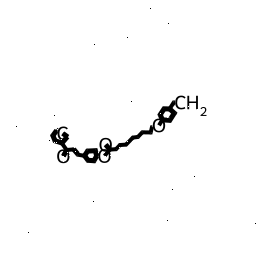 C=Cc1ccc(OCCCCCCCCC(=O)Oc2ccc(C=CC(=O)c3ccccc3)cc2)cc1